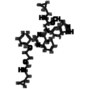 COC(CN(c1ccc2[nH]ncc2c1)c1nc(-c2ccccc2OCCOCNCC2CC2)nc2ccccc12)NCC1CC1